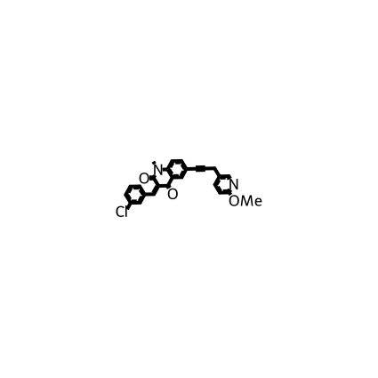 COc1ccc(CC#Cc2ccc3c(c2)C(=O)/C(=C/c2cccc(Cl)c2)C(=O)N3C)cn1